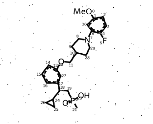 COc1ccc(F)c(N2CCC(COc3cccc([C@@H](CP(C)(=O)O)C4CC4)c3)CC2)c1